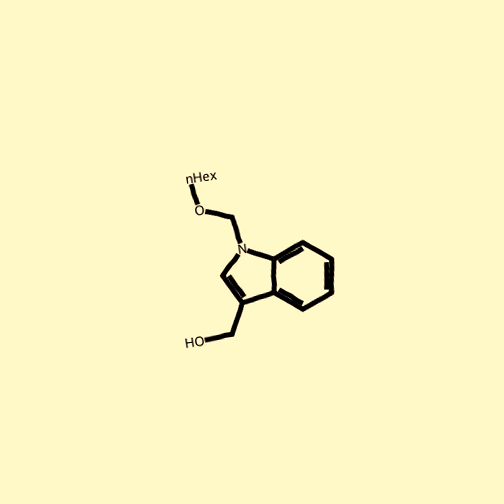 CCCCCCOCn1cc(CO)c2ccccc21